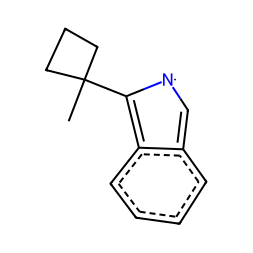 CC1(C2=c3ccccc3=C[N]2)CCC1